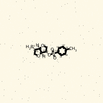 B[C@H]1CO[C@H]2[C@@H]1OC[C@@H]2OS(=O)(=O)c1ccc(C)cc1